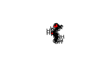 CCC(CC)COC(=O)[C@H](C)NP(=O)(OC[C@H]1O[C@@](/C=N\C)(c2ccc3c(=N)n(COP(=O)(O)O)cnn23)[C@H](O)[C@@H]1O)Oc1ccccc1